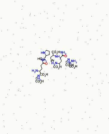 CC(C)C[C@H](N)C(=O)O.NC(=O)CC[C@H](N)C(=O)O.NC(=O)CC[C@H](N)C(=O)O.NCC(=O)O.NCC(=O)O.NCC(=O)O.O=C(O)[C@@H]1CCCN1